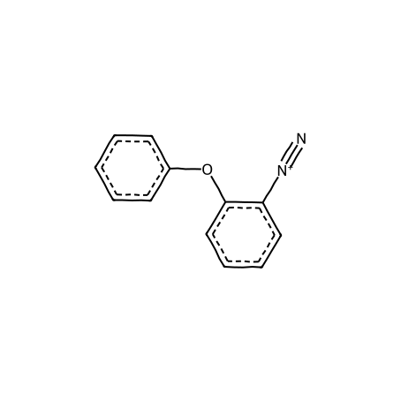 N#[N+]c1ccccc1Oc1ccccc1